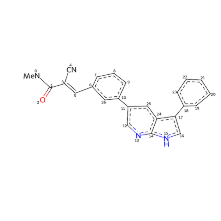 CNC(=O)/C(C#N)=C/c1cccc(-c2cnc3[nH]cc(-c4ccccc4)c3c2)c1